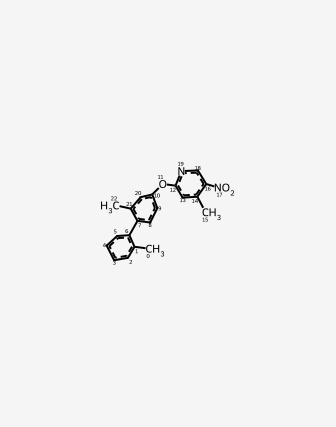 Cc1ccccc1-c1ccc(Oc2cc(C)c([N+](=O)[O-])cn2)cc1C